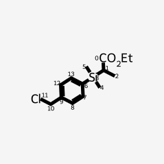 CCOC(=O)C(C)[Si](C)(C)c1ccc(CCl)cc1